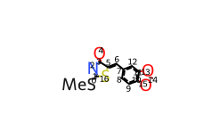 CSC1=NC(=O)/C(=C/c2ccc3c(c2)OCO3)S1